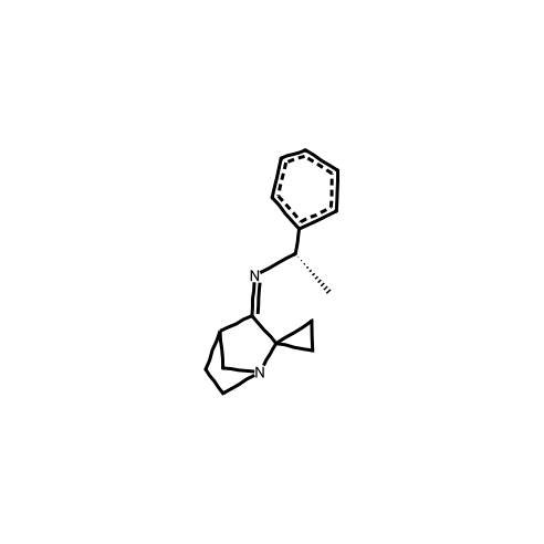 C[C@H](/N=C1/C2CCN(C2)C12CC2)c1ccccc1